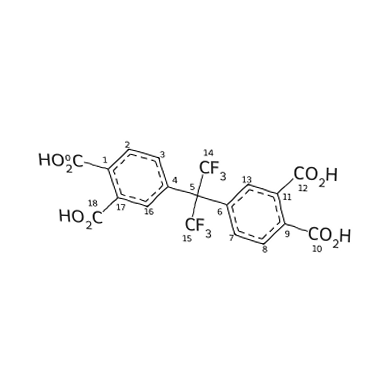 O=C(O)c1ccc(C(c2ccc(C(=O)O)c(C(=O)O)c2)(C(F)(F)F)C(F)(F)F)cc1C(=O)O